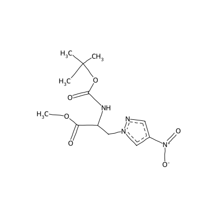 COC(=O)C(Cn1cc([N+](=O)[O-])cn1)NC(=O)OC(C)(C)C